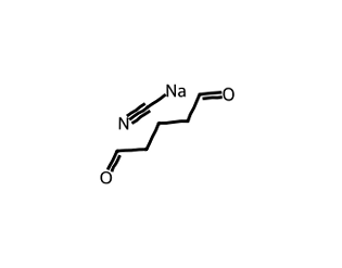 N#[C][Na].O=CCCCC=O